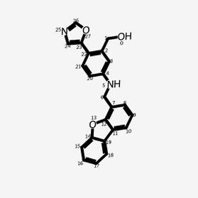 OCc1cc(NCc2cccc3c2oc2ccccc23)ccc1-c1cnco1